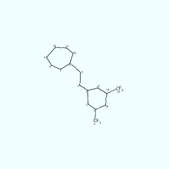 FC(F)(F)C1CC(CCC2CCCCCC2)CC(C(F)(F)F)C1